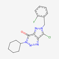 O=c1c2nn(Cc3ccccc3F)c(Cl)c2nnn1C1CCCCC1